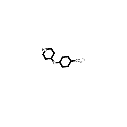 CCOC(=O)C1CCC(OC2CCNCC2)CC1